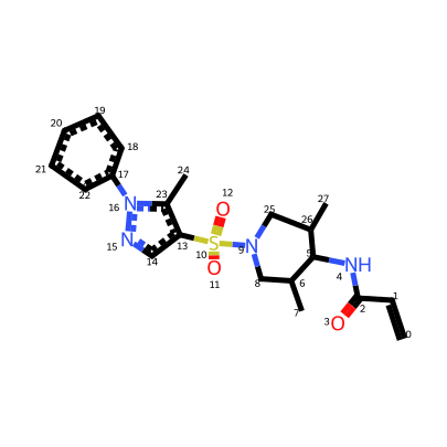 C=CC(=O)NC1C(C)CN(S(=O)(=O)c2cnn(-c3ccccc3)c2C)CC1C